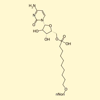 CCCCCCCCCOCCCCCCCCCP(=O)(O)OC[C@H]1O[C@@H](n2ccc(N)nc2=O)C(O)[C@H]1O